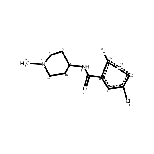 CN1CCC(NC(=O)c2cc(Cl)ccc2F)CC1